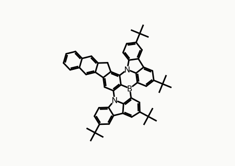 CC(C)(C)c1ccc2c(c1)c1cc(C(C)(C)C)cc3c1n2-c1cc2c(c4c1B3c1cc(C(C)(C)C)cc3c5cc(C(C)(C)C)ccc5n-4c13)Cc1cc3ccccc3cc1-2